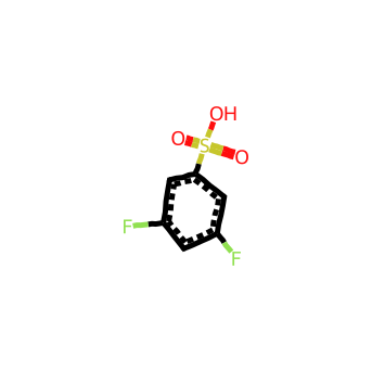 O=S(=O)(O)c1cc(F)cc(F)c1